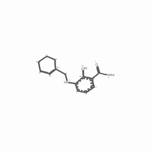 CNC(=O)c1cccc(NCC2CCCCC2)c1O